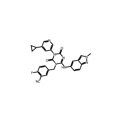 Cn1cc2cc(Nc3nc(=O)n(-c4cncc(C5CC5)c4)c(=O)n3Cc3ccc(F)c(C#N)c3)ccc2n1